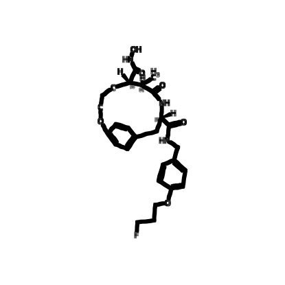 C[C@H]1C(=O)N[C@H](C(=O)NCc2ccc(OCCCF)cc2)Cc2ccc(cc2)OCCC[C@@H]1C(=O)NO